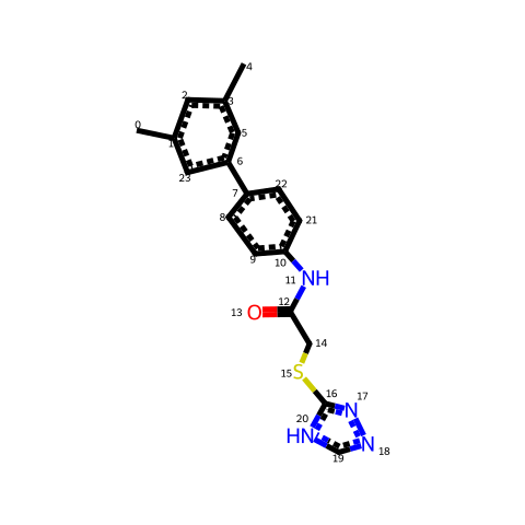 Cc1cc(C)cc(-c2ccc(NC(=O)CSc3nnc[nH]3)cc2)c1